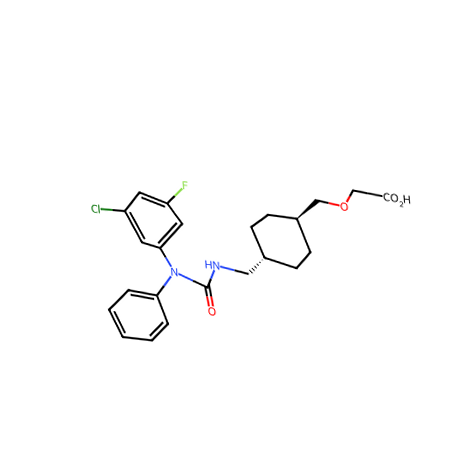 O=C(O)COC[C@H]1CC[C@H](CNC(=O)N(c2ccccc2)c2cc(F)cc(Cl)c2)CC1